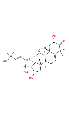 CC(=O)OC(C)(C)/C=C/C(=O)C(C)(O)[C@H]1[C@H](O)C[C@@]2(C)[C@@H]3CC=C4[C@@H](C[C@H](O)C(=O)C4(C)C)[C@]3(CO)C(=O)C[C@]12C